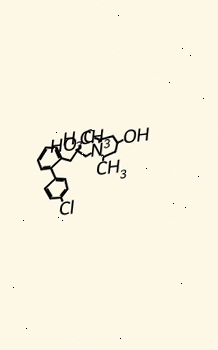 CC1CC(O)CC(C)N1CC(C)(O)Cc1ccccc1-c1ccc(Cl)cc1